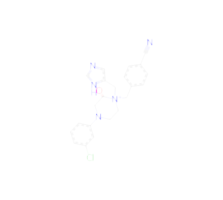 N#Cc1ccc(C[N+]2(Cc3cnc[nH]3)CCN(c3cccc(Cl)c3)CC2=O)cc1